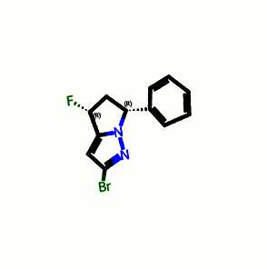 F[C@@H]1C[C@H](c2ccccc2)n2nc(Br)cc21